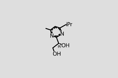 Cc1cc(C(C)C)nc([C@@H](O)CO)n1